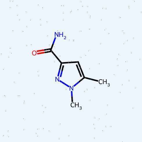 Cc1cc(C(N)=O)nn1C